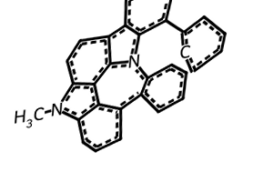 Cn1c2cccc3c4ccccc4n4c5c(-c6ccccc6)cccc5c5ccc1c(c32)c54